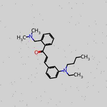 CCCCN(CC)c1cccc(C=CC(=O)c2ccccc2CN(C)C)c1